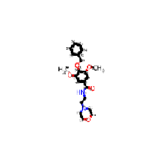 COc1cc(C(=O)NCCN2CCOCC2)cc(OC)c1OCc1ccccc1